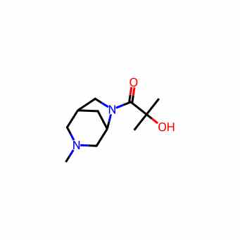 CN1CC2CC(C1)N(C(=O)C(C)(C)O)C2